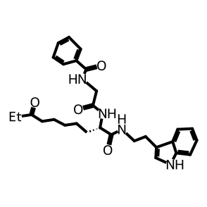 CCC(=O)CCCCC[C@H](NC(=O)CNC(=O)c1ccccc1)C(=O)NCCc1c[nH]c2ccccc12